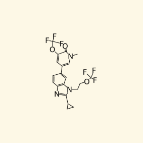 Cn1cc(-c2ccc3nc(C4CC4)n(CCOC(F)(F)F)c3c2)cc(OC(F)(F)F)c1=O